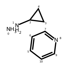 N.NC1CC1.c1ccncc1